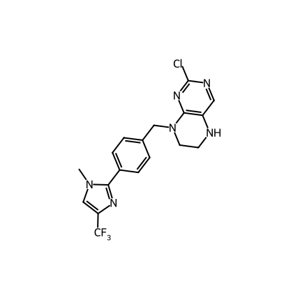 Cn1cc(C(F)(F)F)nc1-c1ccc(CN2CCNc3cnc(Cl)nc32)cc1